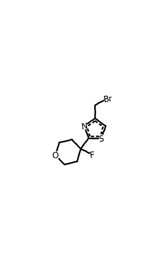 FC1(c2nc(CBr)cs2)CCOCC1